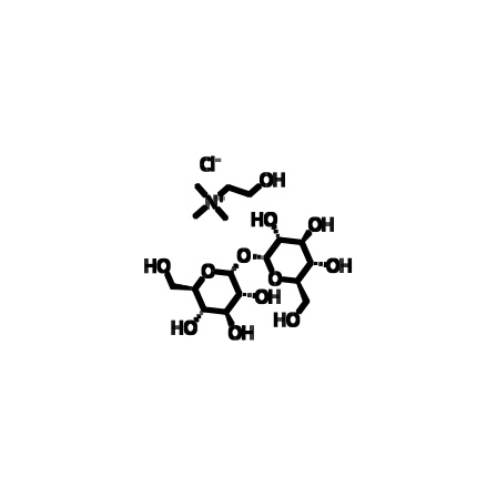 C[N+](C)(C)CCO.OC[C@H]1O[C@H](O[C@H]2O[C@H](CO)[C@@H](O)[C@H](O)[C@H]2O)[C@H](O)[C@@H](O)[C@@H]1O.[Cl-]